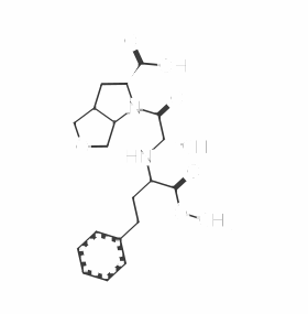 COC(=O)C(CCc1ccccc1)N[C@@H](C)C(=O)N1C2COCC2C[C@H]1C(=O)O